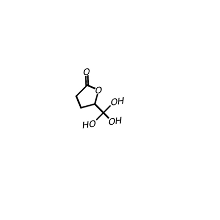 O=C1CCC(C(O)(O)O)O1